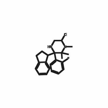 CN1C(Cl)CNC(c2ccccc2F)(C2CCc3ccccc32)C1(C)C